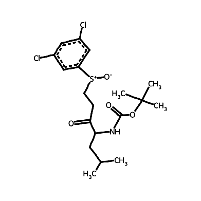 CC(C)CC(NC(=O)OC(C)(C)C)C(=O)CC[S+]([O-])c1cc(Cl)cc(Cl)c1